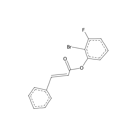 O=C(C=Cc1ccccc1)Oc1cccc(F)c1Br